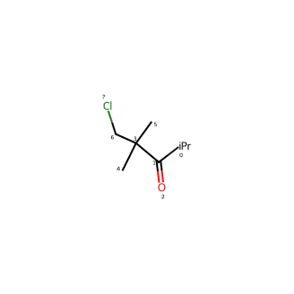 CC(C)C(=O)C(C)(C)CCl